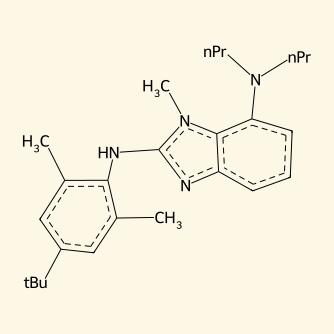 CCCN(CCC)c1cccc2nc(Nc3c(C)cc(C(C)(C)C)cc3C)n(C)c12